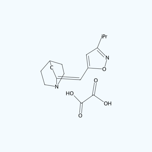 CC(C)c1cc(/C=C2\CC3CCN2CC3)on1.O=C(O)C(=O)O